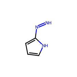 N=Nc1ccc[nH]1